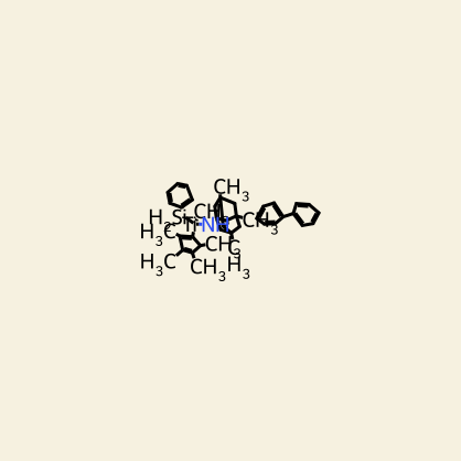 CC1=C(C)C(C)[C]([Ti]([CH3])([NH]C23CC4(C)CC(C)(CC(C)(C4)C2)C3)[SiH2]c2ccccc2)=C1C.c1ccc(-c2ccccc2)cc1